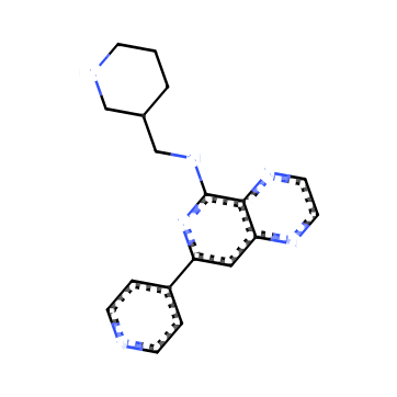 c1cc(-c2cc3nccnc3c(NCC3CCCNC3)n2)ccn1